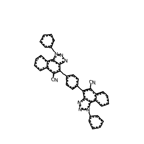 N#Cc1c(-c2ccc(-c3c(C#N)c4ccccc4c4c3nnn4-c3ccccc3)cc2)c2nnn(-c3ccccc3)c2c2ccccc12